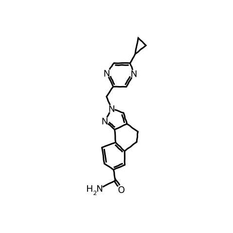 NC(=O)c1ccc2c(c1)CCc1cn(Cc3cnc(C4CC4)cn3)nc1-2